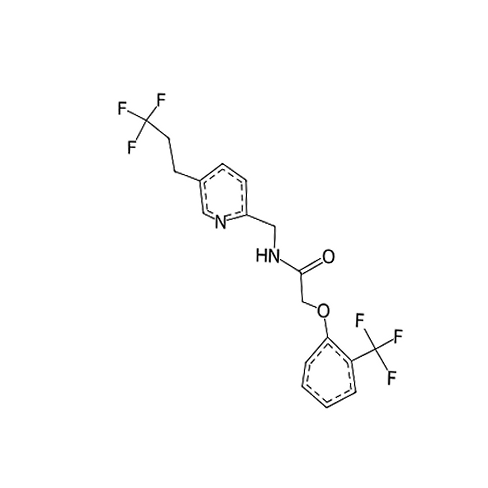 O=C(COc1ccccc1C(F)(F)F)NCc1ccc(CCC(F)(F)F)cn1